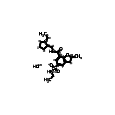 CCNS(=O)(=O)c1cc2c(c(C(=O)NCC3CCCN3CC)c1)OC(C)C2.Cl